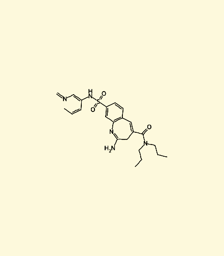 C=N/C=C(\C=C/C)NS(=O)(=O)c1ccc2c(c1)N=C(N)CC(C(=O)N(CCC)CCC)=C2